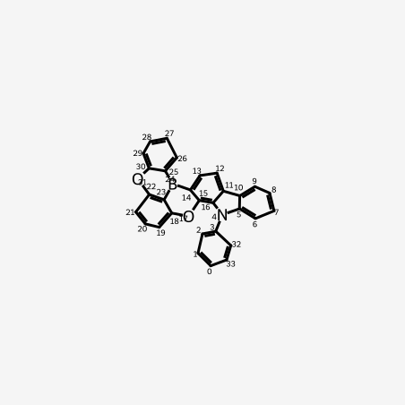 c1ccc(-n2c3ccccc3c3ccc4c(c32)Oc2cccc3c2B4c2ccccc2O3)cc1